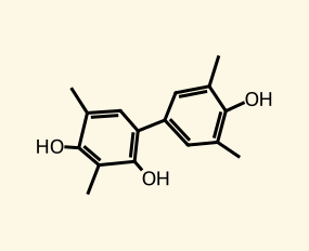 Cc1cc(-c2cc(C)c(O)c(C)c2O)cc(C)c1O